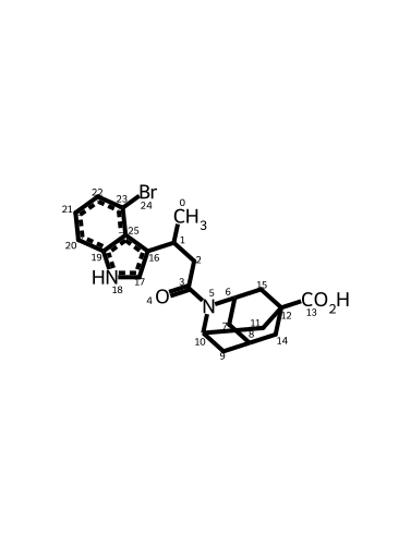 CC(CC(=O)N1C2CC3CC1CC(C(=O)O)(C3)C2)c1c[nH]c2cccc(Br)c12